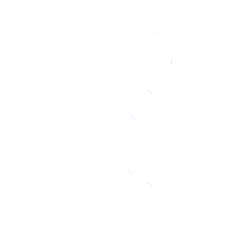 CCc1nc(-c2cccc(C(CN3CC[C@H](O[Si](C)(C)C(C)(C)C)C3)N(C)C(=O)OCc3ccccc3)c2)no1